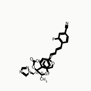 C[C@@H](S[C@H]1CO[C@H](C=CC=Cc2ccc(C#N)cc2F)OC1)[C@@](Cn1cncn1)(OC(=O)O)c1ccc(F)cc1F